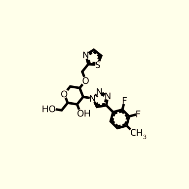 Cc1ccc(-c2cn(C3C(OCc4nccs4)COC(CO)C3O)nn2)c(F)c1F